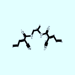 C=C/C=C(\C#N)C(=O)OCC(C)OC(=O)/C(C#N)=C/C=C